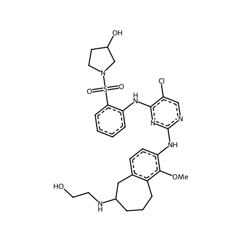 COc1c(Nc2ncc(Cl)c(Nc3ccccc3S(=O)(=O)N3CCC(O)C3)n2)ccc2c1CCCC(NCCO)C2